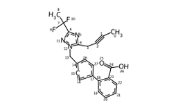 CC#CCc1nc(C(C)(F)F)nn1Cc1ccc(-c2ccccc2C(=O)O)cc1